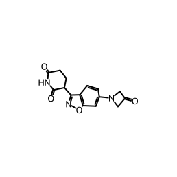 O=C1CN(c2ccc3c(C4CCC(=O)NC4=O)noc3c2)C1